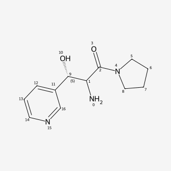 NC(C(=O)N1CCCC1)[C@@H](O)c1cccnc1